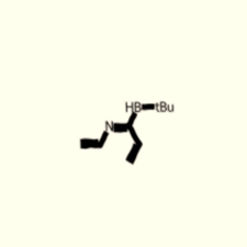 C=C/N=C(/BC(C)(C)C)C=C